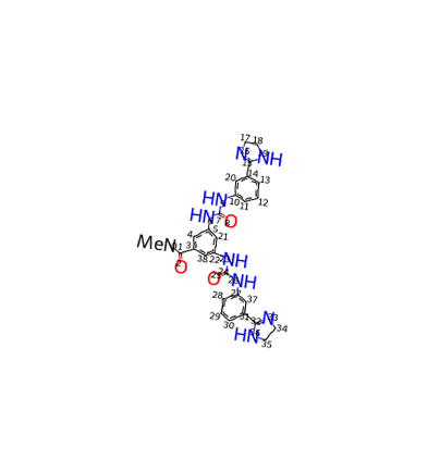 CNC(=O)c1cc(NC(=O)Nc2cccc(C3=NCCN3)c2)cc(NC(=O)Nc2cccc(C3=NCCN3)c2)c1